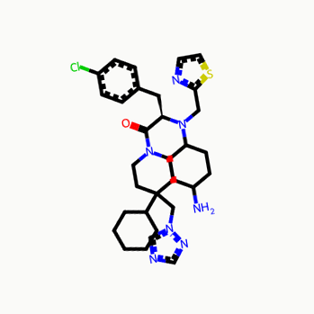 NC1CCC(N(Cc2nccs2)[C@H](Cc2ccc(Cl)cc2)C(=O)N2CCC(Cn3cncn3)(C3CCCCC3)CC2)CC1